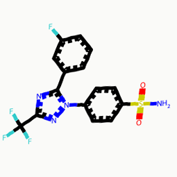 NS(=O)(=O)c1ccc(-n2nc(C(F)(F)F)nc2-c2cccc(F)c2)cc1